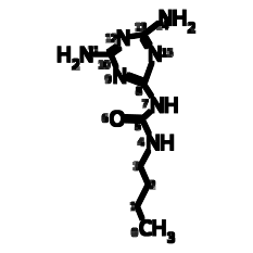 CCCCNC(=O)Nc1nc(N)nc(N)n1